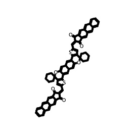 O=C1C(=Cc2cc3c(s2)C2=CC4C=C5OC6(CCCCC6)c6cc(C=C7C(=O)c8cc9cc%10ccccc%10cc9cc8C7=O)sc6C5=CC4C=C2OC32CCCCC2)C(=O)c2cc3cc4ccccc4cc3cc21